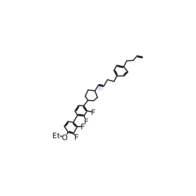 C=CCCc1ccc(CC/C=C/C2CCC(c3ccc(-c4ccc(OCC)c(F)c4F)c(F)c3F)CC2)cc1